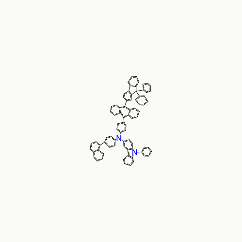 c1ccc(-n2c3ccccc3c3cc(N(c4ccc(-c5cccc6ccccc56)cc4)c4ccc(-c5c6ccccc6c(-c6ccc7c(c6)C(c6ccccc6)(c6ccccc6)c6ccccc6-7)c6ccccc56)cc4)ccc32)cc1